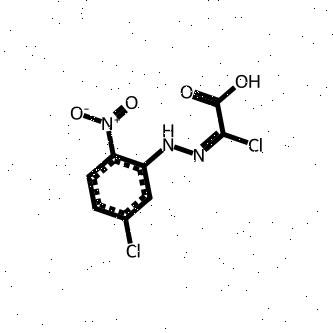 O=C(O)/C(Cl)=N\Nc1cc(Cl)ccc1[N+](=O)[O-]